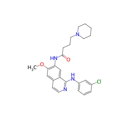 COc1cc2ccnc(Nc3cccc(Cl)c3)c2cc1NC(=O)CCCN1CCCCC1